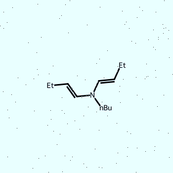 CCC=CN(C=CCC)CCCC